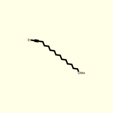 CCC#CCCCCCCCCCCCCCOC